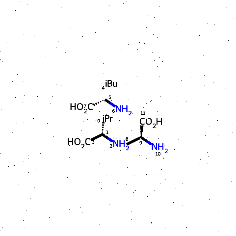 CC(C)[C@H](N)C(=O)O.CC[C@H](C)[C@H](N)C(=O)O.C[C@H](N)C(=O)O